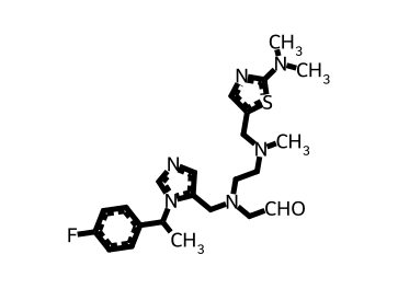 CC(c1ccc(F)cc1)n1cncc1CN(CC=O)CCN(C)Cc1cnc(N(C)C)s1